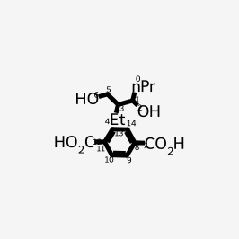 CCCC(O)C(CC)CO.O=C(O)c1ccc(C(=O)O)cc1